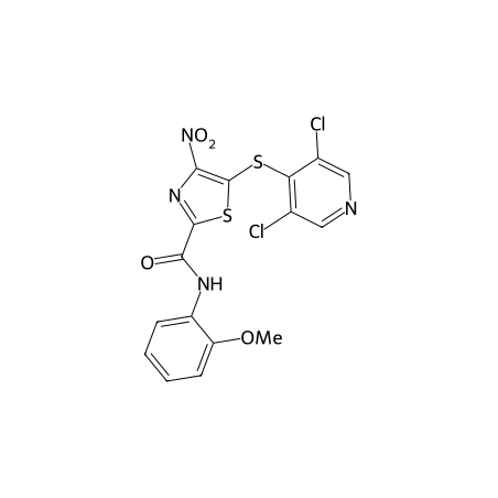 COc1ccccc1NC(=O)c1nc([N+](=O)[O-])c(Sc2c(Cl)cncc2Cl)s1